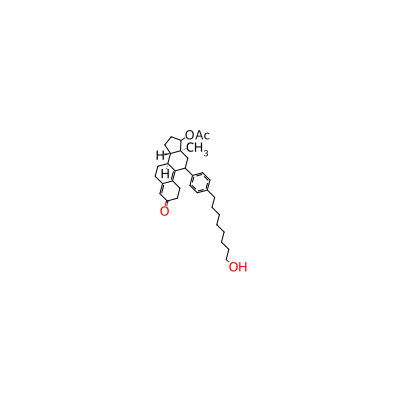 CC(=O)OC1CC[C@H]2[C@@H]3CCC4=CC(=O)CCC4=C3C(c3ccc(CCCCCCCCO)cc3)C[C@]12C